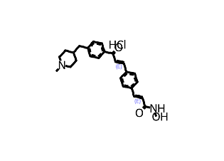 CN1CCC(Cc2ccc(C(=O)/C=C/c3ccc(/C=C/C(=O)NO)cc3)cc2)CC1.Cl